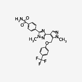 Cn1nc(-c2cnn(C)c2COc2ccc(C(F)(F)F)cc2)nc1-c1ccc(S(N)(=O)=O)cc1